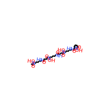 CC(=O)N(O)CCCCCNC(=O)CCC(=O)N(O)CCCCCNC(=O)CCC(=O)N(O)CCCCCNC(=O)c1cccc(=O)n1O